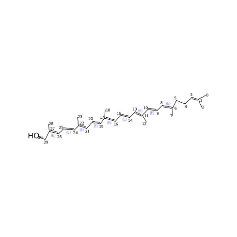 CC(C)=CCC/C(C)=C/C=C/C(C)=C/C=C/C=C(C)/C=C/C=C(C)/C=C/C=C(\C)CO